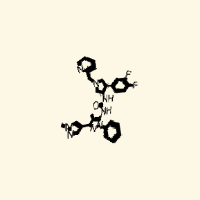 Cc1c(-c2cnn(C)c2)nn(-c2ccccc2)c1NC(=O)N[C@@H]1CN(Cc2ccccn2)C[C@H]1c1ccc(F)c(F)c1